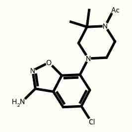 CC(=O)N1CCN(c2cc(Cl)cc3c(N)noc23)CC1(C)C